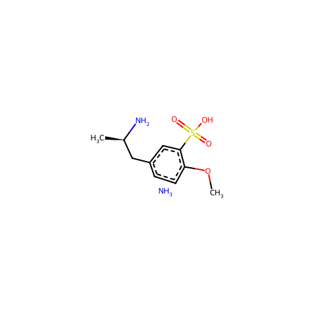 COc1ccc(C[C@@H](C)N)cc1S(=O)(=O)O.N